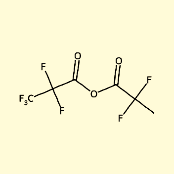 CC(F)(F)C(=O)OC(=O)C(F)(F)C(F)(F)F